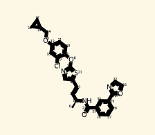 C[C@@H](/C=C/c1cnc(Oc2ccc(OCC3CC3)cc2Cl)s1)NC(=O)c1cccc(-c2ncco2)c1